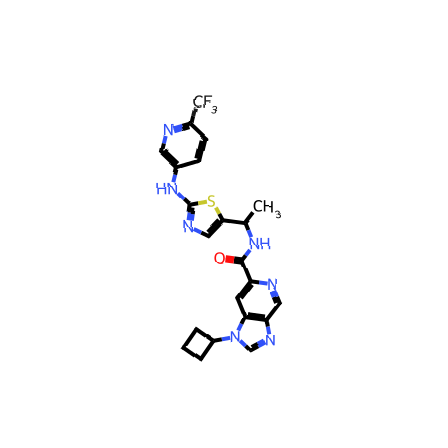 CC(NC(=O)c1cc2c(cn1)ncn2C1CCC1)c1cnc(Nc2ccc(C(F)(F)F)nc2)s1